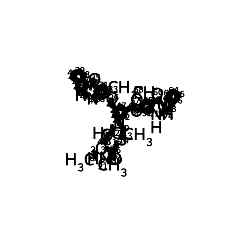 CCCOCCOCCN(CC(C)(C)SCCCC(=O)NC)c1cc(COc2cc3c(cc2C)C(=O)N2c4ccccc4C[C@H]2C=N3)cc(COc2cc3c(cc2OC)C(=O)N2c4ccccc4C[C@H]2CN3)c1